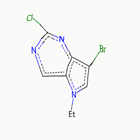 CCn1cc(Br)c2nc(Cl)ncc21